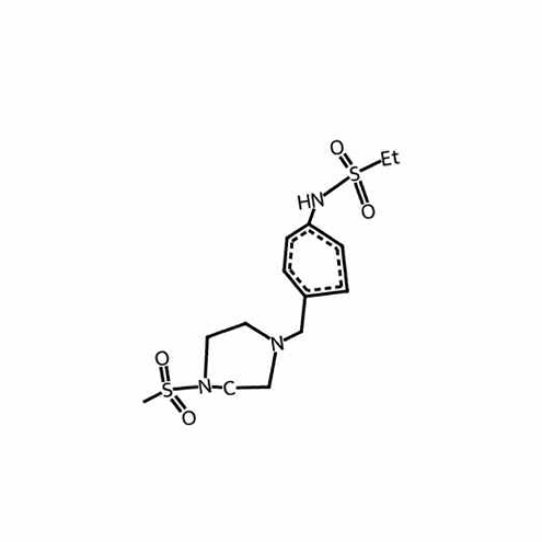 CCS(=O)(=O)Nc1ccc(CN2CCN(S(C)(=O)=O)CC2)cc1